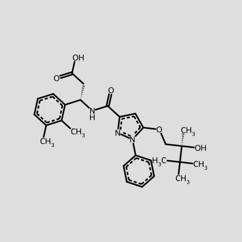 Cc1cccc([C@H](CC(=O)O)NC(=O)c2cc(OC[C@@](C)(O)C(C)(C)C)n(-c3ccccc3)n2)c1C